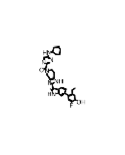 CCc1cc(O)c(F)cc1-c1ccc2c(-c3nc4c([nH]3)CCN(C(=O)c3cnc(NC5CCCCC5)cn3)C4)n[nH]c2c1